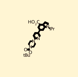 CC(C)n1ccc2c(C(=O)O)cc(-c3ccc(N4CCN(C(=O)OC(C)(C)C)CC4)nc3)cc21